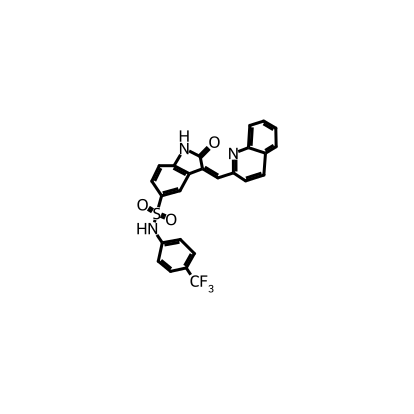 O=C1Nc2ccc(S(=O)(=O)Nc3ccc(C(F)(F)F)cc3)cc2C1=Cc1ccc2ccccc2n1